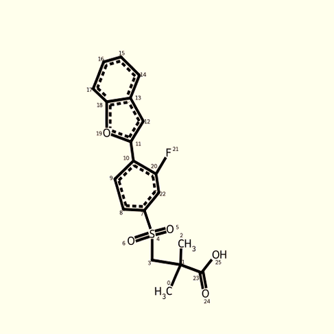 CC(C)(CS(=O)(=O)c1ccc(-c2cc3ccccc3o2)c(F)c1)C(=O)O